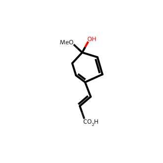 COC1(O)C=CC(C=CC(=O)O)=CC1